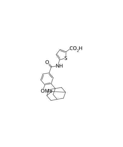 COc1ccc(C(=O)Nc2ccc(C(=O)O)s2)cc1C12CC3CC(CC(C3)C1)C2